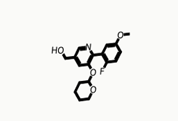 COc1ccc(F)c(-c2ncc(CO)cc2OC2CCCCO2)c1